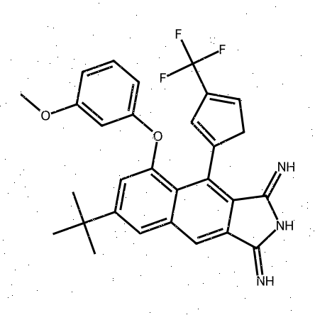 COc1cccc(Oc2cc(C(C)(C)C)cc3cc4c(c(C5=CC(C(F)(F)F)=CC5)c23)C(=N)NC4=N)c1